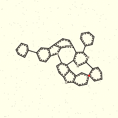 c1ccc(-c2ccc3c(c2)c2ccc4cc2n3-c2ccc3oc5ccccc5c3c2-c2nc(-c3ccccc3)nc(-c3ccccc3)c2-4)cc1